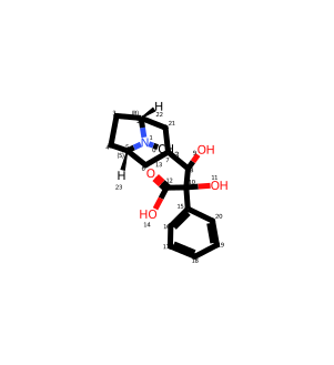 CN1[C@@H]2CC[C@H]1CC(C(O)C(O)(C(=O)O)c1ccccc1)C2